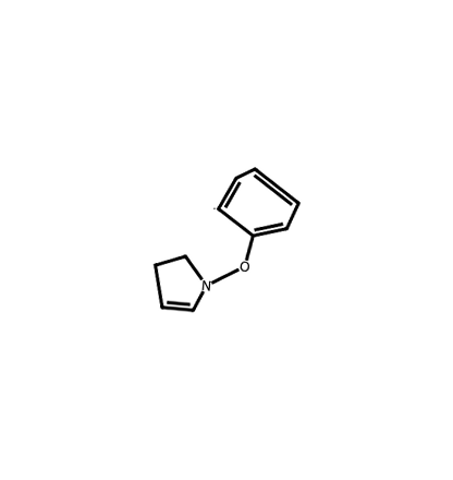 [c]1ccccc1ON1C=CCC1